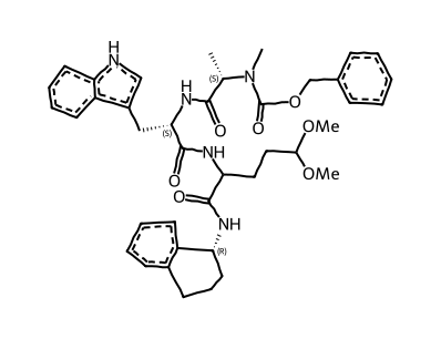 COC(CCC(NC(=O)[C@H](Cc1c[nH]c2ccccc12)NC(=O)[C@H](C)N(C)C(=O)OCc1ccccc1)C(=O)N[C@@H]1CCCc2ccccc21)OC